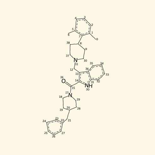 Cc1cccc(C)c1C1CCN(Cc2c(C(=O)N3CCC(Cc4ccccc4)CC3)[nH]c3ccccc23)CC1